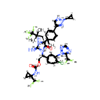 CC(C)(C[C@]1(C2(C)C=CC(c3cnn(C4CC4)n3)=CC2)NC(=N)N([C@H](COC(=O)NC2(C(F)F)CC2)c2ccc(Cl)c(-n3ncnc3C(F)F)c2)C1=O)C(F)(F)F